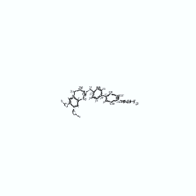 COc1cc2c(cc1OC)CN(Cc1ccc(-c3ccc(N)cc3)cn1)CC2